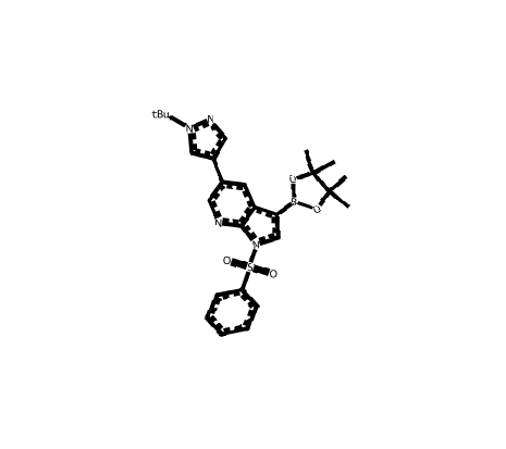 CC(C)(C)n1cc(-c2cnc3c(c2)c(B2OC(C)(C)C(C)(C)O2)cn3S(=O)(=O)c2ccccc2)cn1